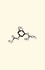 CC(=O)Oc1cc(C)cc(O[C@@H](C)O)c1